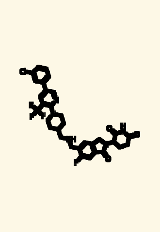 O=C1CCC(N2Cc3cc(CNCC4CCN(c5ncc(-c6cccc(Cl)c6)cc5C(F)(F)F)CC4)c(F)cc3C2=O)C(=O)N1